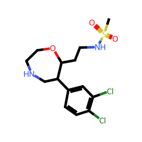 CS(=O)(=O)NCCC1OCCNCC1c1ccc(Cl)c(Cl)c1